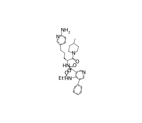 CCC(=O)Nc1c(-c2ccccc2)cncc1S(=O)(=O)N[C@@H](CCCc1ccc(N)nc1)C(=O)N1CCC(C)CC1